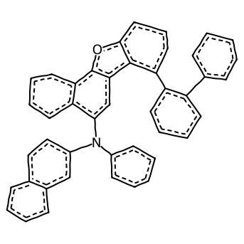 c1ccc(-c2ccccc2-c2cccc3oc4c5ccccc5c(N(c5ccccc5)c5ccc6ccccc6c5)cc4c23)cc1